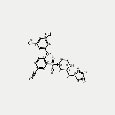 N#Cc1ccc(Oc2cc(Cl)cc(Cl)c2)c(S(=O)(=O)N2CCNC(Cn3cncn3)C2)c1